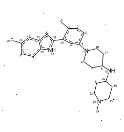 Cc1ccc(N2CCC(NC3CCN(C)CC3)CC2)cc1-c1cc2cc(F)ccc2[nH]1